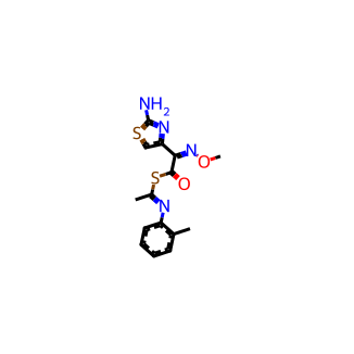 CO/N=C(\C(=O)S/C(C)=N/c1ccccc1C)c1csc(N)n1